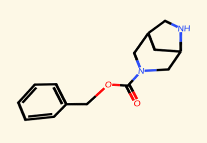 O=C(OCc1ccccc1)N1CC2CNC(C2)C1